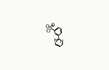 O=S(=O)(Cl)c1cccc(-c2ncccn2)c1